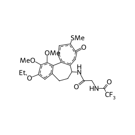 CCOc1cc2c(c(OC)c1OC)-c1ccc(SC)c(=O)cc1C(NC(=O)CNC(=O)C(F)(F)F)CC2